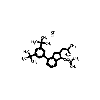 CC(C)CC1=Cc2c(-c3cc(C(C)(C)C)cc(C(C)(C)C)c3)cccc2[CH]1[Zr+2][Si](C)C.[Cl-].[Cl-]